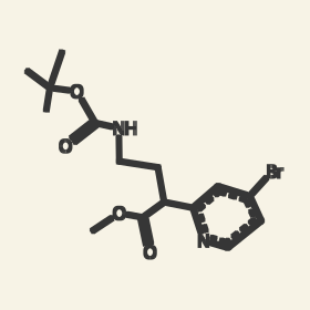 COC(=O)C(CCNC(=O)OC(C)(C)C)c1cc(Br)ccn1